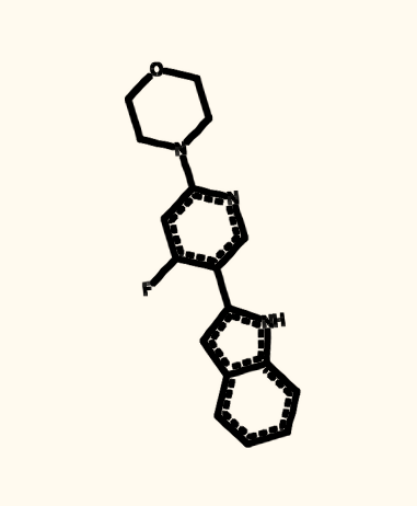 Fc1cc(N2CCOCC2)ncc1-c1cc2ccccc2[nH]1